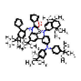 CC(C)(C)c1ccc(N(c2ccc(C(C)(C)C)cc2)c2ccc3c(c2)-c2cc(C(C)(C)C)cc4c2B(c2oc5ccccc5c2N4Cc2ccc(C(C)(C)C)cc2-c2ccccc2)N3c2ccc3c(c2)C(C)(C)CCC3(C)C)cc1